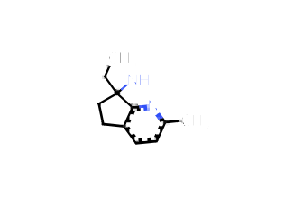 CCC1(N)CCc2ccc(C)nc21